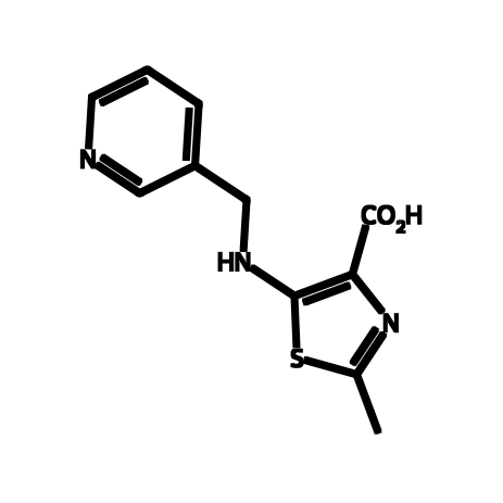 Cc1nc(C(=O)O)c(NCc2cccnc2)s1